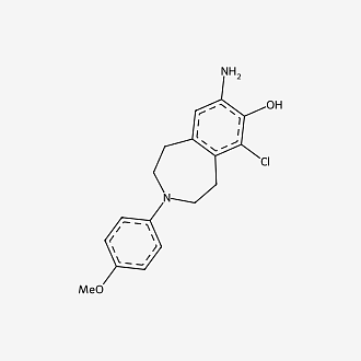 COc1ccc(N2CCc3cc(N)c(O)c(Cl)c3CC2)cc1